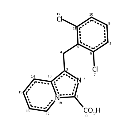 O=C(O)c1nc(Cc2c(Cl)cccc2Cl)c2ccccn12